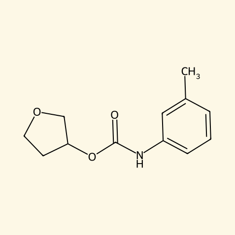 Cc1cccc(NC(=O)OC2CCOC2)c1